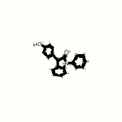 O=C1C(c2ccc(O)cc2)c2ccccc2N1c1ccccc1